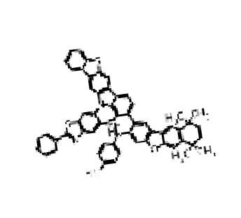 CC(C)(C)c1ccc(Nc2cc3oc4cc5c(cc4c3cc2-c2ccc3c4cc6sc7ccccc7c6cc4n4c3c2Bc2cc3nc(-c6ccccc6)sc3cc2-4)C(C)(C)CCC5(C)C)cc1